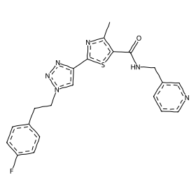 Cc1nc(-c2cn(CCc3ccc(F)cc3)nn2)sc1C(=O)NCc1cccnc1